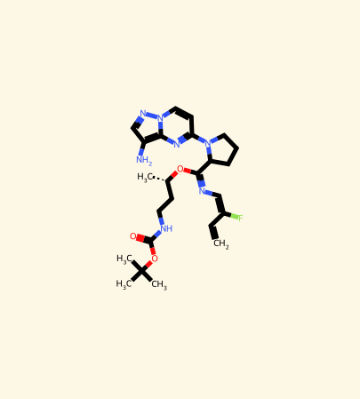 C=C/C(F)=C\N=C(\O[C@@H](C)CCNC(=O)OC(C)(C)C)C1CCCN1c1ccn2ncc(N)c2n1